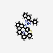 c1ccc(-c2nc(-n3c4cc5ccccc5c5c6cccc7c8ccccc8n(c76)c6c7c(cc3c6c54)sc3ccccc37)nc3c2ccc2ccccc23)cc1